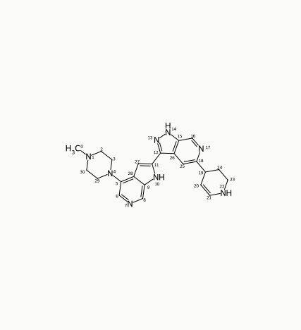 CN1CCN(c2cncc3[nH]c(-c4n[nH]c5cnc(C6C=CNCC6)cc45)cc23)CC1